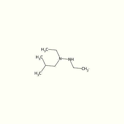 [CH2]CNN(CC)CC(C)C